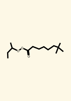 CCC(C)OOC(=O)CCCCCC(C)(C)C